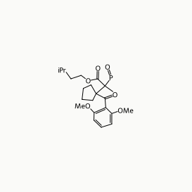 COc1cccc(OC)c1C(=O)C1(C(C)(P=O)C(=O)OCCC(C)C)CCCC1